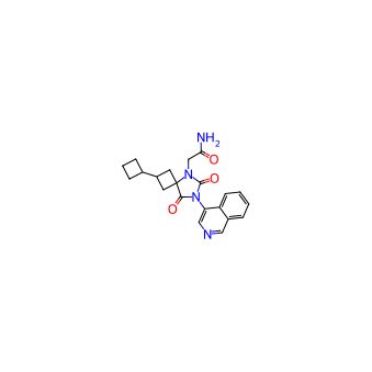 NC(=O)CN1C(=O)N(c2cncc3ccccc23)C(=O)C12CC(C1CCC1)C2